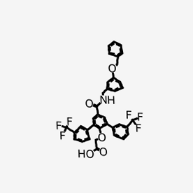 O=C(O)COc1c(-c2cccc(C(F)(F)F)c2)cc(C(=O)NCc2cccc(OCc3ccccc3)c2)cc1-c1cccc(C(F)(F)F)c1